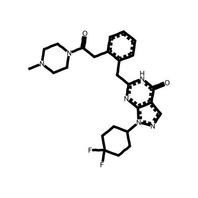 CN1CCN(C(=O)Cc2ccccc2Cc2nc3c(cnn3C3CCC(F)(F)CC3)c(=O)[nH]2)CC1